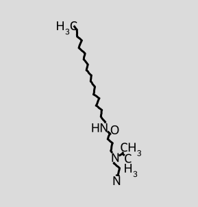 CCCCCCCCCCCCCCCCCCNC(=O)CCCN(CCC#N)C(C)C